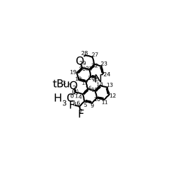 C[C@@H](OC(C)(C)C)c1c(C(F)F)cc2ccccc2c1-c1ccc2c3c(ccnc13)CCO2